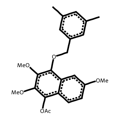 COc1ccc2c(OC(C)=O)c(OC)c(OC)c(OCc3cc(C)cc(C)c3)c2c1